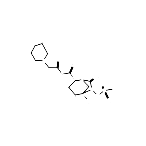 N=C(NC(=O)CN1CCCCC1)[C@@H]1CC[C@@H]2CN1C(=O)N2OS(=O)(=O)O